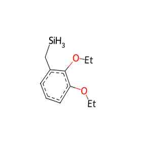 CCOc1cccc(C[SiH3])c1OCC